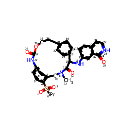 CC(C)S(=O)(=O)c1ccc2cc1CN(C)C(=O)C(Nc1ccc3cc[nH]c(=O)c3c1)c1ccc(cc1)CCOC(=O)N2